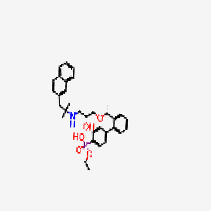 CCOP(=O)(O)c1ccc(-c2ccccc2[C@@H](C)OC[C@H](O)CNC(C)(C)Cc2ccc3ccccc3c2)cc1